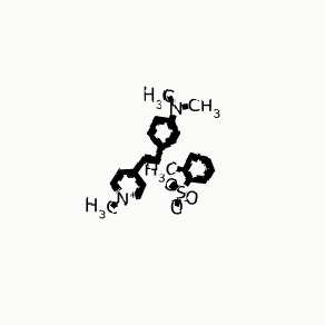 CN(C)c1ccc(C=Cc2cc[n+](C)cc2)cc1.Cc1ccccc1S(=O)(=O)[O-]